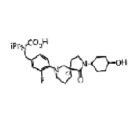 CC(C)N(Cc1ccc(N2CCC[C@]3(CCN([C@H]4CC[C@H](O)CC4)C3=O)C2)c(F)c1)C(=O)O